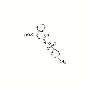 CCOC(=O)/C(=C/C(C#N)=N/OS(=O)(=O)c1ccc(C)cc1)c1ccccc1